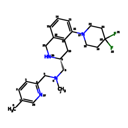 Cc1ccc(CN(C)C[C@H]2Cc3c(cccc3N3CCC(F)(F)CC3)CN2)nc1